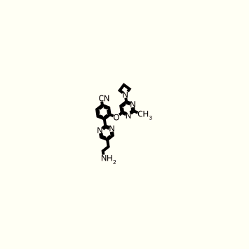 Cc1nc(Oc2cc(C#N)ccc2-c2ncc(CCN)cn2)cc(N2CCC2)n1